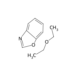 CCOCC.c1ccc2ocnc2c1